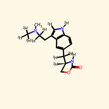 [2H]c1c(CC([2H])([2H])N(C)C([2H])([2H])[2H])c2cc(C([2H])([2H])[C@@]3([2H])COC(=O)N3[2H])ccc2n1[2H]